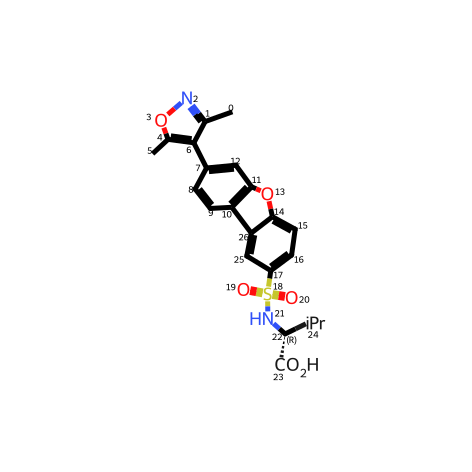 Cc1noc(C)c1-c1ccc2c(c1)oc1ccc(S(=O)(=O)N[C@@H](C(=O)O)C(C)C)cc12